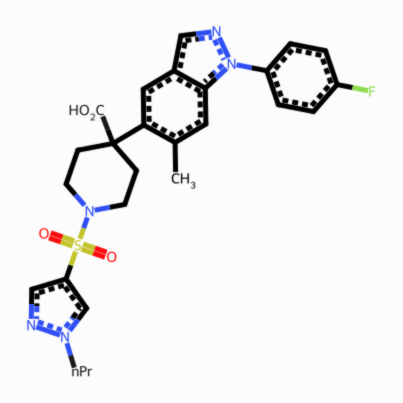 CCCn1cc(S(=O)(=O)N2CCC(C(=O)O)(c3cc4cnn(-c5ccc(F)cc5)c4cc3C)CC2)cn1